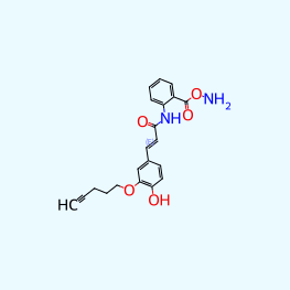 C#CCCCOc1cc(/C=C/C(=O)Nc2ccccc2C(=O)ON)ccc1O